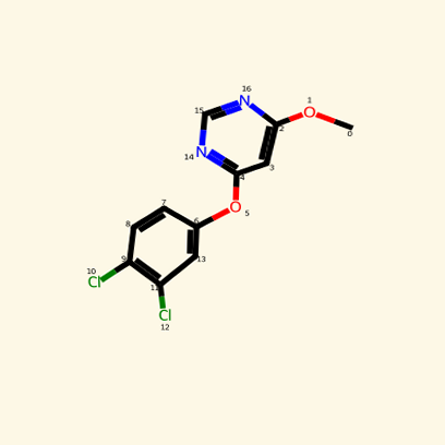 COc1cc(Oc2ccc(Cl)c(Cl)c2)ncn1